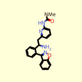 CNC(=O)Nc1cccc(CC(N)c2ccccc2-c2noc3ccccc23)n1